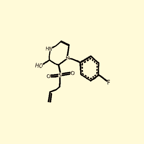 C=CCS(=O)(=O)C1C(O)NCCN1c1ccc(F)cc1